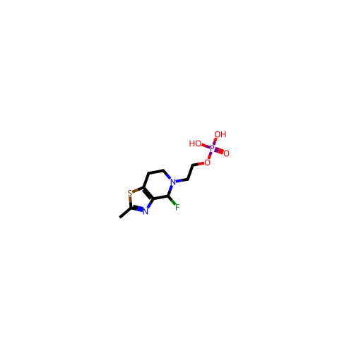 Cc1nc2c(s1)CCN(CCOP(=O)(O)O)C2F